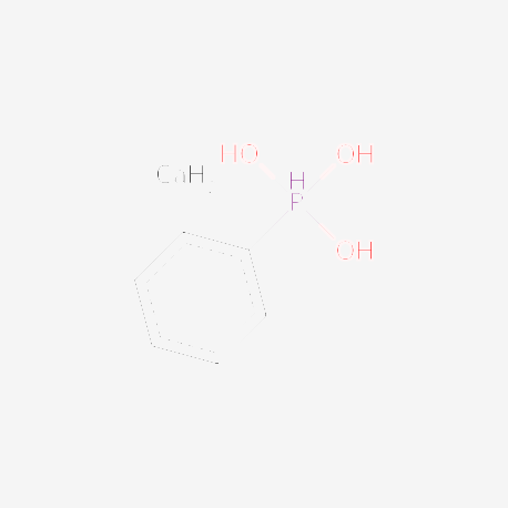 O[PH](O)(O)c1ccccc1.[CaH2]